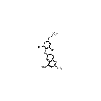 CCCCc1cc(C)nc2ccc(Oc3c(Br)cc(CCC(=O)O)cc3Br)cc12